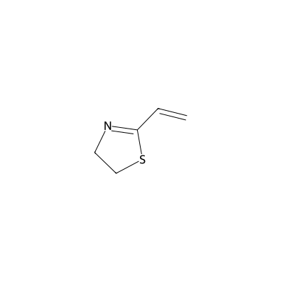 C=CC1=NCCS1